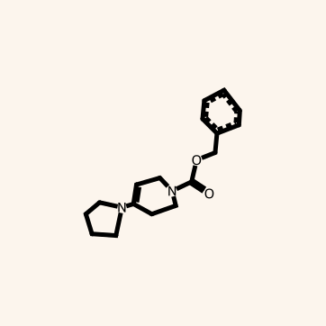 O=C(OCc1ccccc1)N1CC=C(N2CCCC2)CC1